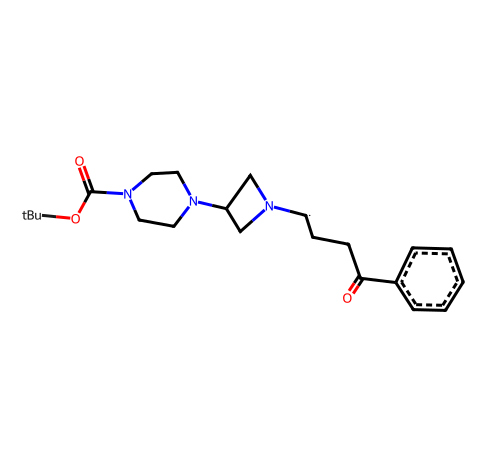 CC(C)(C)OC(=O)N1CCN(C2CN([CH]CCC(=O)c3ccccc3)C2)CC1